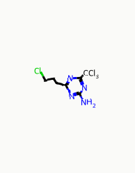 Nc1nc(CCCCl)nc(C(Cl)(Cl)Cl)n1